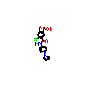 O=C(Nc1ccc(-n2cccc2)cc1)c1cc2c(cc1Cl)COB2O